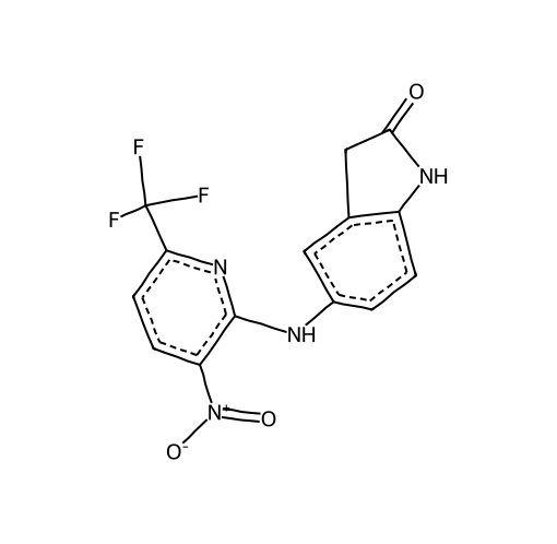 O=C1Cc2cc(Nc3nc(C(F)(F)F)ccc3[N+](=O)[O-])ccc2N1